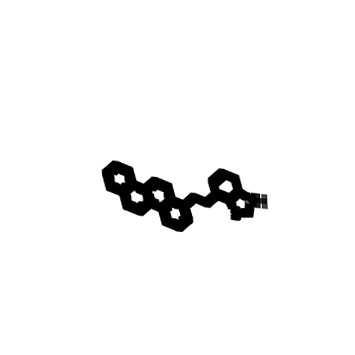 C1=CC(CCc2cccc3c2ccc2c4ccccc4ccc32)=C2SCNC2C1